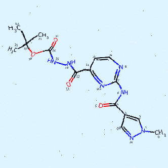 Cn1cc(C(=O)Nc2nccc(C(=O)NNC(=O)OC(C)(C)C)n2)cn1